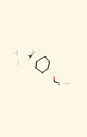 CCO[C@H]1CC[C@H](C(C)(C)C)CC1